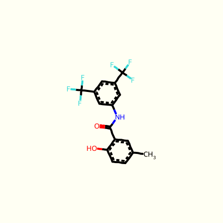 Cc1ccc(O)c(C(=O)Nc2cc(C(F)(F)F)cc(C(F)(F)F)c2)c1